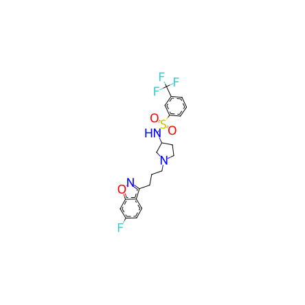 O=S(=O)(NC1CCN(CCCc2noc3cc(F)ccc23)C1)c1cccc(C(F)(F)F)c1